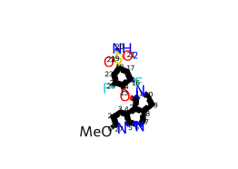 COc1ccc2c(ncc3ccnc(Oc4c(F)cc(S(N)(=O)=O)cc4F)c32)n1